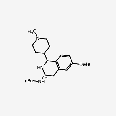 CCCCN[C@H]1Cc2cc(OC)ccc2C(C2CCN(C)CC2)N1